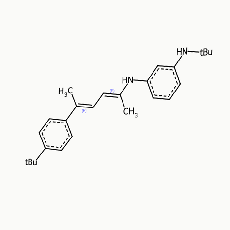 C/C(=C\C=C(/C)c1ccc(C(C)(C)C)cc1)Nc1cccc(NC(C)(C)C)c1